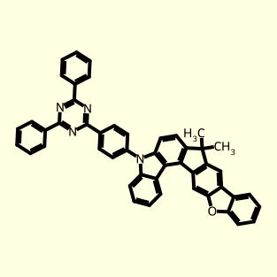 CC1(C)c2cc3c(cc2-c2c1ccc1c2c2ccccc2n1-c1ccc(-c2nc(-c4ccccc4)nc(-c4ccccc4)n2)cc1)oc1ccccc13